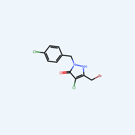 O=c1c(Cl)c(CBr)[nH]n1Cc1ccc(Cl)cc1